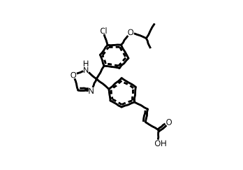 CC(C)Oc1ccc(C2(c3ccc(C=CC(=O)O)cc3)N=CON2)cc1Cl